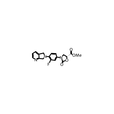 COC(=O)[C@H]1CN(c2ccc(N3Cc4cccnc4C3)c(F)c2)C(=O)O1